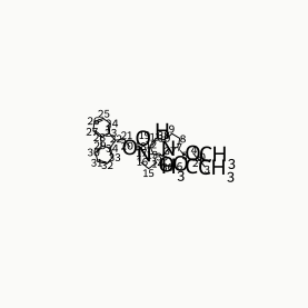 CC(C)(C)OC(=O)[C@@H]1CC[C@H]2C=C[C@]3(CCCN3C(=O)OCC3c4ccccc4-c4ccccc43)C(=O)N21